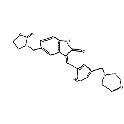 O=C1Nc2ccc(CN3CCOC3=O)cc2C1=Cc1cc(CN2CCOCC2)c[nH]1